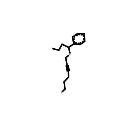 CCCC(OCC#CCCCI)c1ccccc1